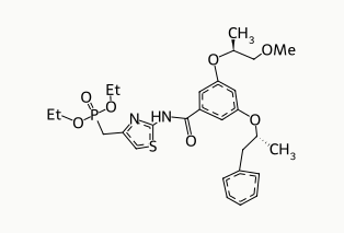 CCOP(=O)(Cc1csc(NC(=O)c2cc(O[C@H](C)Cc3ccccc3)cc(O[C@@H](C)COC)c2)n1)OCC